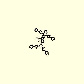 CC1(C)c2cc(-c3nc(-c4ccc(-c5ccncc5)nc4)nc(-c4ccc(-c5ccncc5)nc4)n3)ccc2-c2cc3c(-c4ccc(-c5ccccc5)cc4)c4ccccc4c(-c4ccc(-c5ccccc5)cc4)c3cc21